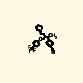 CC(c1ccc(C#N)cc1)C(CCN1CCCCC1)COc1ccc(C(F)(F)F)cc1